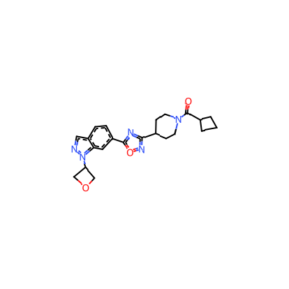 O=C(C1CCC1)N1CCC(c2noc(-c3ccc4cnn(C5COC5)c4c3)n2)CC1